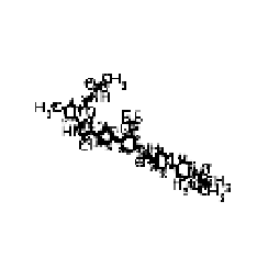 COC(=O)NCC(=O)N1CC(C)CC1c1nc(-c2ccc(-c3ccc(NC(=O)N4CCN(C5CCN(C(=O)C(C)(C)C)CC5)CC4)cc3OC(F)(F)F)cc2)c(Cl)[nH]1